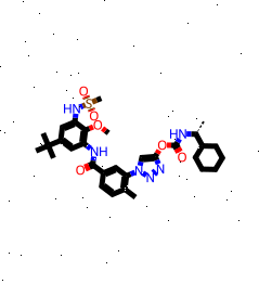 COc1c(NC(=O)c2ccc(C)c(-n3cc(OC(=O)N[C@H](C)C4CCCCC4)nn3)c2)cc(C(C)(C)C)cc1NS(C)(=O)=O